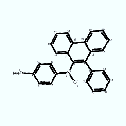 COc1ccc([S+]([O-])c2c(-c3ccccc3)c3ccccc3c3ccccc23)cc1